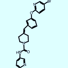 O=C(Nc1cccnc1)N1CCC(=Cc2cccc(Oc3ccc(Br)cn3)c2)CC1